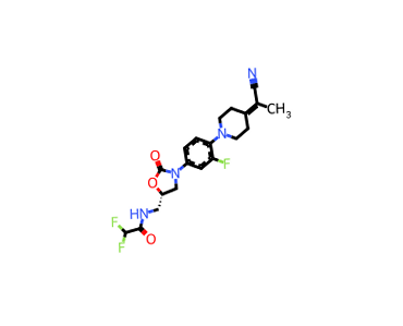 CC(C#N)=C1CCN(c2ccc(N3C[C@H](CNC(=O)C(F)F)OC3=O)cc2F)CC1